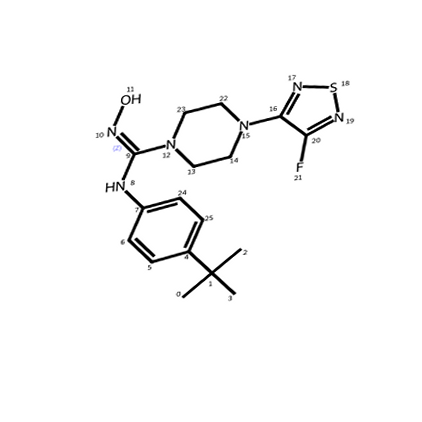 CC(C)(C)c1ccc(N/C(=N/O)N2CCN(c3nsnc3F)CC2)cc1